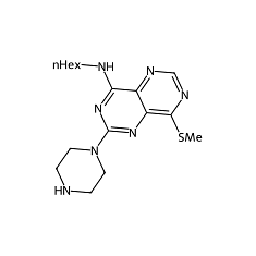 CCCCCCNc1nc(N2CCNCC2)nc2c(SC)ncnc12